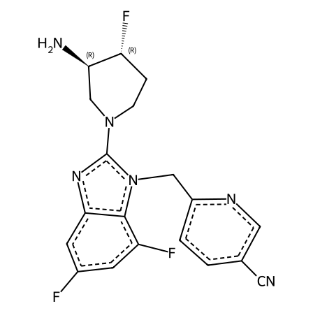 N#Cc1ccc(Cn2c(N3CC[C@@H](F)[C@H](N)C3)nc3cc(F)cc(F)c32)nc1